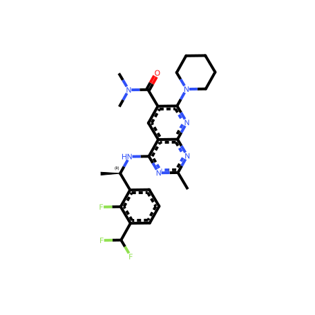 Cc1nc(N[C@H](C)c2cccc(C(F)F)c2F)c2cc(C(=O)N(C)C)c(N3CCCCC3)nc2n1